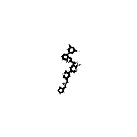 Cc1cc(F)cc(-c2cccc3[nH]c(-c4n[nH]c5ncc(-c6cncc(CNCC7CCCC7)c6)cc45)cc23)c1